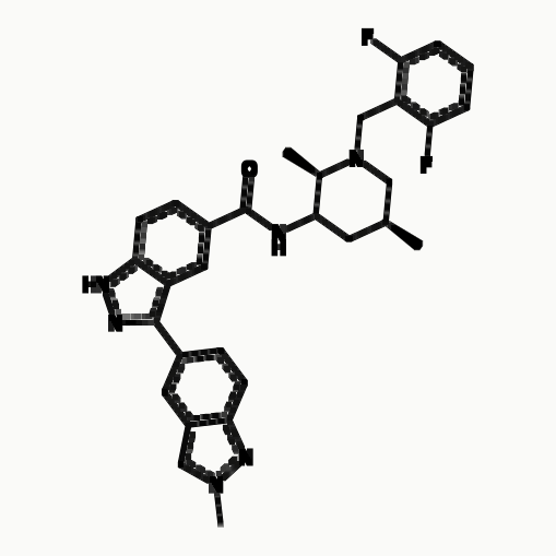 C[C@H]1CC(NC(=O)c2ccc3[nH]nc(-c4ccc5nn(C)cc5c4)c3c2)[C@@H](C)N(Cc2c(F)cccc2F)C1